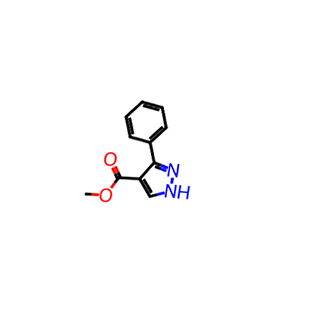 COC(=O)c1c[nH]nc1-c1ccccc1